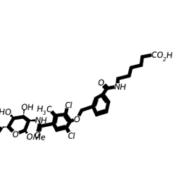 CO[C@H]1O[C@H](CO)[C@@H](O)[C@H](O)[C@H]1NC(=O)c1cc(Cl)c(OCc2cccc(C(=O)NCCCCCC(=O)O)c2)c(Cl)c1C